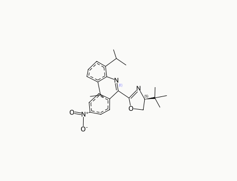 CC(C)c1cccc(C(C)C)c1/N=C(/C1=N[C@@H](C(C)(C)C)CO1)c1ccc([N+](=O)[O-])cc1